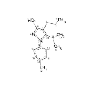 CCCc1c(O)nn(-c2ccc(C)cc2)c1C(C)C